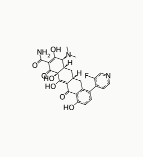 CN(C)[C@@H]1C(O)=C(C(N)=O)C(=O)[C@@]2(O)C(O)=C3C(=O)c4c(O)ccc(-c5ccncc5F)c4C[C@H]3C[C@@H]12